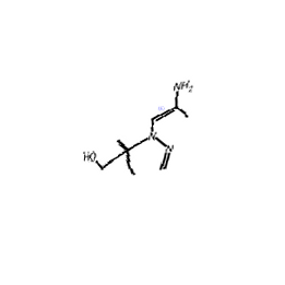 C=NN(/C=C(\C)N)C(C)(C)CO